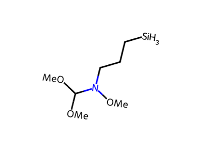 COC(OC)N(CCC[SiH3])OC